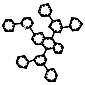 c1ccc(-c2cc(-c3ccccc3)cc(-c3c4ccccc4c(-c4cc(-c5ccccc5)cc(-c5ccccc5)c4)c4cc(-c5cccc(-c6ccccc6)n5)ccc34)c2)cc1